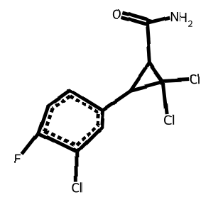 NC(=O)C1C(c2ccc(F)c(Cl)c2)C1(Cl)Cl